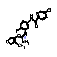 CC1=C(O/C(N)=N\c2cc(NC(=O)c3ccc(Cl)cn3)ccc2F)COC1